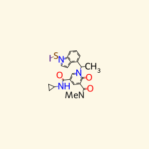 CNC(=O)c1cc(C(=O)NC2CC2)cn(C(C)c2cccc3c2ccn3SI)c1=O